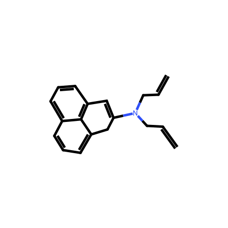 C=CCN(CC=C)C1=Cc2cccc3cccc(c23)C1